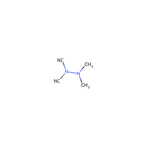 CN(C)N(C#N)C#N